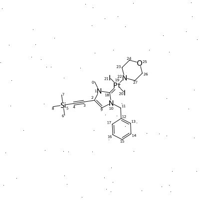 Cn1c(C#C[Si](C)(C)C)cn(Cc2ccccc2)[c]1=[Pt]([I])([I])[N]1CCOCC1